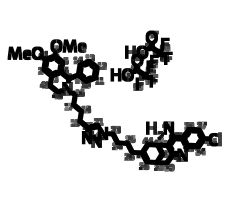 COc1cc2c(cc1OC)C(c1ccccc1)N(CCCCc1cn(CCCCC3=CC4Cc5nc6cc(Cl)ccc6c(N)c5C(C3)C4)nn1)CC2.O=C(O)C(F)(F)F.O=C(O)C(F)(F)F